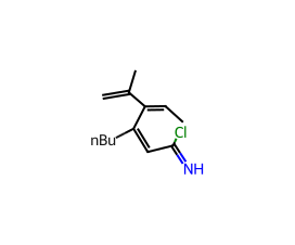 C=C(C)C(=C/C)/C(=C\C(=N)Cl)CCCC